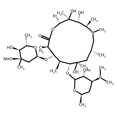 CC[C@H]1OC(=O)[C@H](C)[C@@H](O[C@H]2C[C@@](C)(OC)[C@@H](O)[C@H](C)O2)[C@H](C)[C@@H](OC2O[C@H](C)C[C@H](N(C)C)[C@H]2OC(C)=O)[C@](C)(O)C[C@@H](C)CN(C)[C@H](C)[C@@H](O)[C@]1(C)O